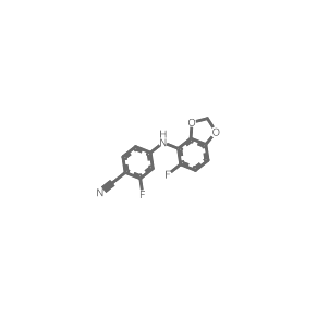 N#Cc1ccc(Nc2c(F)ccc3c2OCO3)cc1F